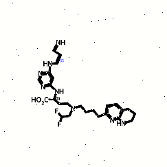 N=C/C=C\Nc1cc(N[C@@H](CCN(CCCCc2ccc3c(n2)NCCC3)CC(F)F)C(=O)O)ncn1